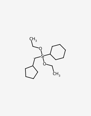 CCO[Si]([CH]C1CCCC1)(OCC)C1CCCCC1